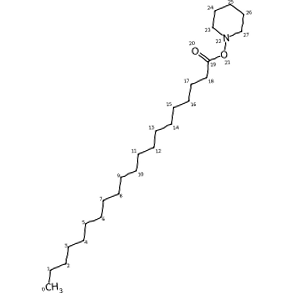 CCCCCCCCCCCCCCCCCCCC(=O)ON1CCCCC1